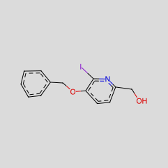 OCc1ccc(OCc2ccccc2)c(I)n1